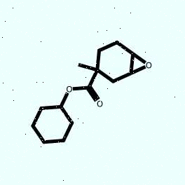 CC1(C(=O)OC2CCCCC2)CCC2OC2C1